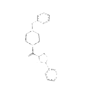 Cl.Cl.Cl.O=C(C1CSC(c2cccnc2)N1)N1CCN(Cc2ccccc2)CC1